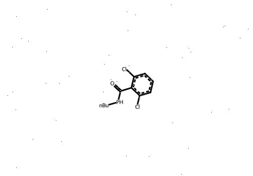 CCCCPC(=O)c1c(Cl)cccc1Cl